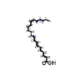 CC/C=C/C/C=C\C/C=C\C/C=C/C/C=C/CCCCCC(=O)O